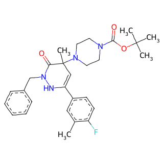 Cc1cc(C2=CC(C)(N3CCN(C(=O)OC(C)(C)C)CC3)C(=O)N(Cc3ccccc3)N2)ccc1F